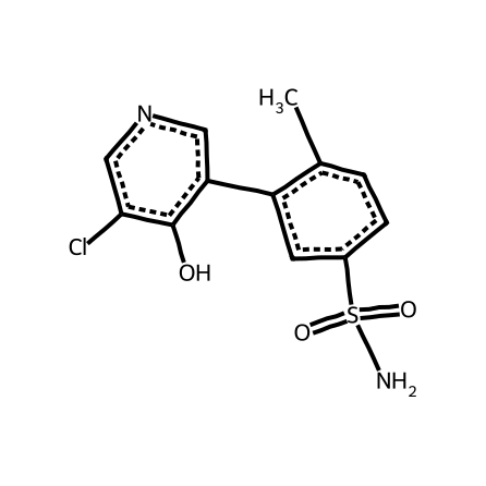 Cc1ccc(S(N)(=O)=O)cc1-c1cncc(Cl)c1O